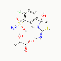 CC(O)C(=O)O.CN=C1SCC(O)(c2ccc(Cl)c(S(N)(=O)=O)c2)N1C